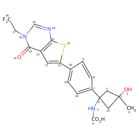 CC1(O)CC(NC(=O)O)(c2ccc(-c3cc4c(=O)n(CC(F)(F)F)cnc4s3)cc2)C1